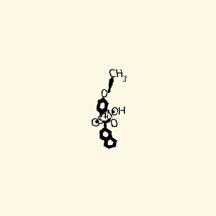 CC#CCOc1ccc([S+]([O-])C(C(=O)NO)c2ccc3ccccc3c2)cc1